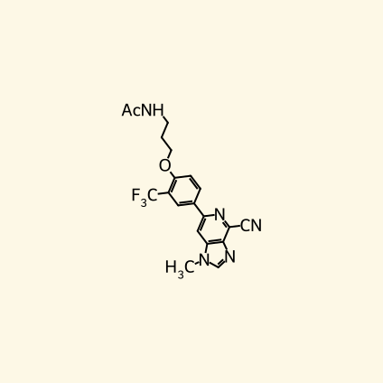 CC(=O)NCCCOc1ccc(-c2cc3c(ncn3C)c(C#N)n2)cc1C(F)(F)F